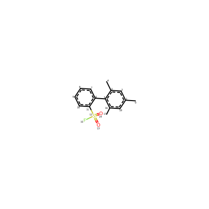 Cc1cc(C)c(-c2ccccc2S(=O)(=O)F)c(C)c1